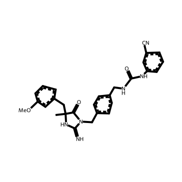 COc1cccc(CC2(C)NC(=N)N(Cc3ccc(CNC(=O)Nc4cccc(C#N)c4)cc3)C2=O)c1